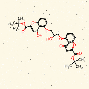 CC(C)(C)OC(=O)C1=CC(O)c2c(OCC(O)COc3cccc4oc(C(=O)OC(C)(C)C)cc(=O)c34)cccc2O1